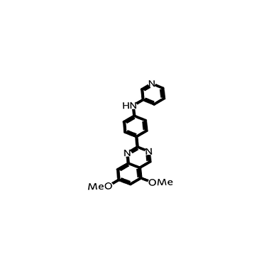 COc1cc(OC)c2cnc(-c3ccc(Nc4cccnc4)cc3)nc2c1